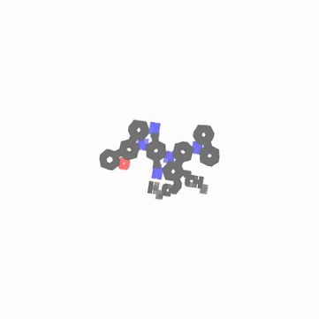 C=Cc1c(/C=C\C)ccc2c1c1cc(-n3c4ccccc4c4ccccc43)ccc1n2-c1cc(C#N)c(-n2c3ccccc3c3cc4c(cc32)OC2CCCCC42)cc1C#N